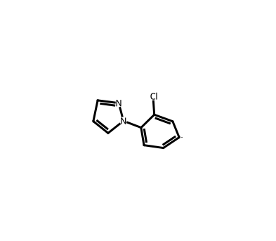 Clc1c[c]ccc1-n1cccn1